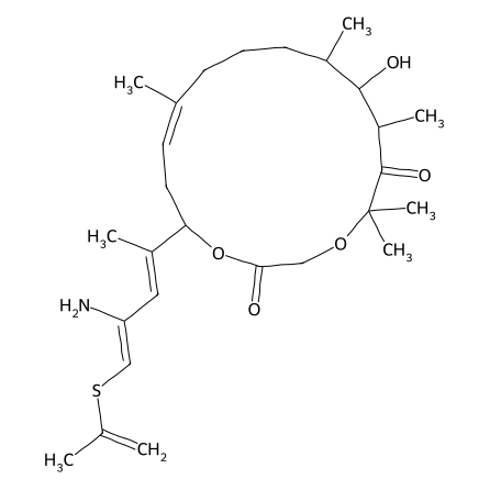 C=C(C)S/C=C(N)/C=C(\C)C1C/C=C(/C)CCCC(C)C(O)C(C)C(=O)C(C)(C)OCC(=O)O1